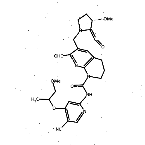 COCC(C)Oc1cc(NC(=O)N2CCCc3cc(CN4CC[C@H](OC)C4=C=O)c(C=O)nc32)ncc1C#N